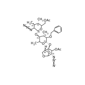 CC(=O)OCC1O[C@H](O[C@@H]2C(C)O[C@@H](O[C@H]3C(OC(C)=O)[C@H](N=[N+]=[N-])C4OC[C@H]3O4)C(OCc3ccccc3)[C@H]2C)C(N=[N+]=[N-])[C@@H](C)[C@@H]1C